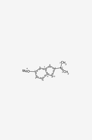 C=C(C)c1cc2cc(OC)ccc2s1